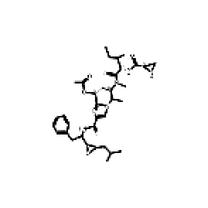 CCC(C)[C@H](NC(=O)[C@H]1CN1)C(=O)N(C)[C@H](C[C@@H](OC(C)=O)c1nc(C(=O)NC(Cc2ccccc2)C2OC2CC(C)C)cs1)C(C)C